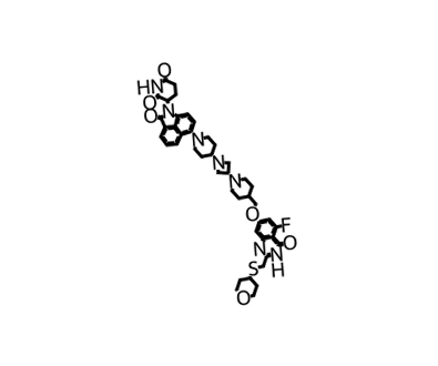 O=C1CCC(N2C(=O)c3cccc4c(N5CCC(N6CC(N7CCC(COc8cc(F)c9c(=O)[nH]c(CSC%10CCOCC%10)nc9c8)CC7)C6)CC5)ccc2c34)C(=O)N1